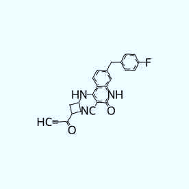 C#CC(=O)C1CC(Nc2c(C#N)c(=O)[nH]c3cc(Cc4ccc(F)cc4)ccc23)C1